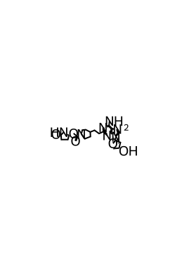 Nc1nc(CCC2CCN(C(=O)OC3CCC(=O)N3)CC2)nc2c1ncn2[C@H]1CC(O)CO1